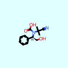 CC(C)(C#N)N(C(=O)O)[C@@H](CO)c1ccccc1